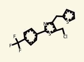 FC(F)(F)c1ccc(-c2nc(Cc3cccs3)c(CCl)s2)cc1